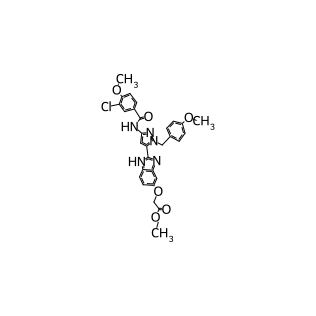 CCOC(=O)COc1ccc2[nH]c(-c3cc(NC(=O)c4ccc(OC)c(Cl)c4)nn3Cc3ccc(OC)cc3)nc2c1